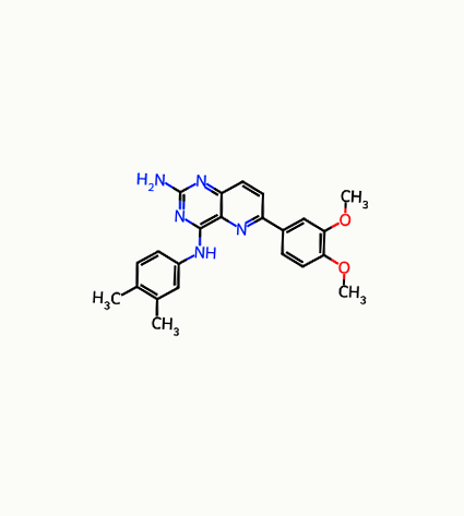 COc1ccc(-c2ccc3nc(N)nc(Nc4ccc(C)c(C)c4)c3n2)cc1OC